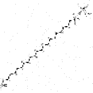 COS(=O)(=O)[O-].C[N+](C)(C)CCCNCCCCCCCCCCCCCCCCCC=O